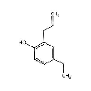 [CH2]Cc1ccc(O)c(CC=C)c1